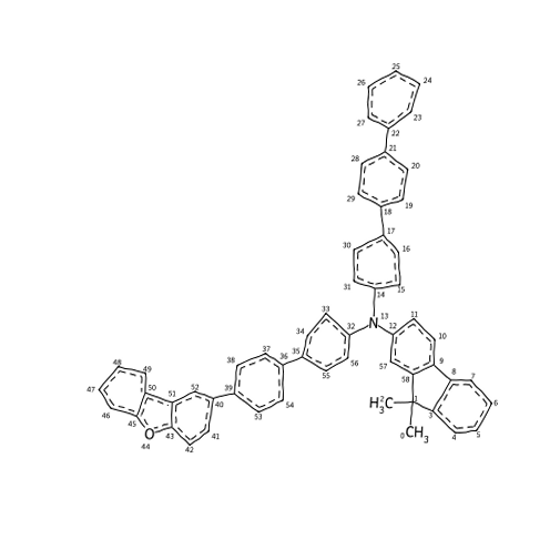 CC1(C)c2ccccc2-c2ccc(N(c3ccc(-c4ccc(-c5ccccc5)cc4)cc3)c3ccc(-c4ccc(-c5ccc6oc7ccccc7c6c5)cc4)cc3)cc21